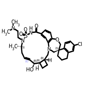 C[C@H]1C/C=C/[C@H](O)[C@@H]2CC[C@H]2CN2C[C@@]3(CCCc4cc(Cl)ccc43)COc3ccc(cc32)C(=O)NS(=O)(=O)N1CCN(C)C